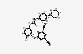 N#Cc1cc(C#N)cc(Oc2cc(CC(=O)Nc3ccc(C4CCCCC4)cc3)ccc2Cl)c1